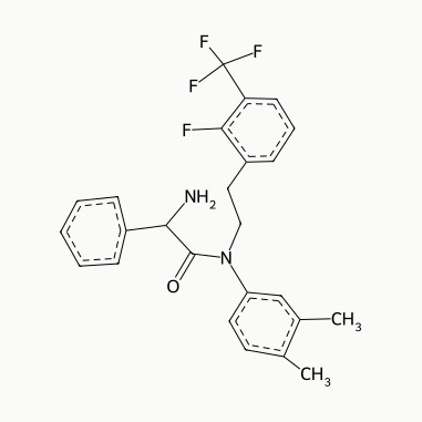 Cc1ccc(N(CCc2cccc(C(F)(F)F)c2F)C(=O)C(N)c2ccccc2)cc1C